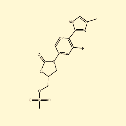 Cc1c[nH]c(-c2ccc(N3C[C@H](COS(C)(=O)=O)OC3=O)cc2F)n1